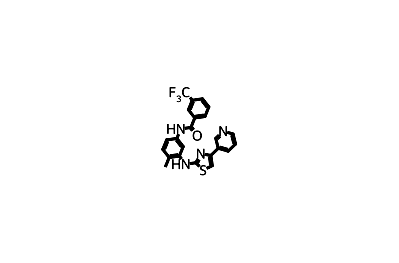 Cc1ccc(NC(=O)c2cccc(C(F)(F)F)c2)cc1Nc1nc(-c2cccnc2)cs1